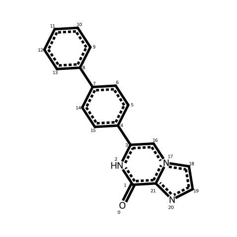 O=c1[nH]c(-c2ccc(-c3ccccc3)cc2)cn2ccnc12